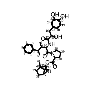 CC(c1ccccc1)C(C)C(NC(=O)C(O)Cc1ccc(O)c(O)c1)C(=O)N1CCCC1C(=O)OC1CC2CCC1(C)C2(C)C